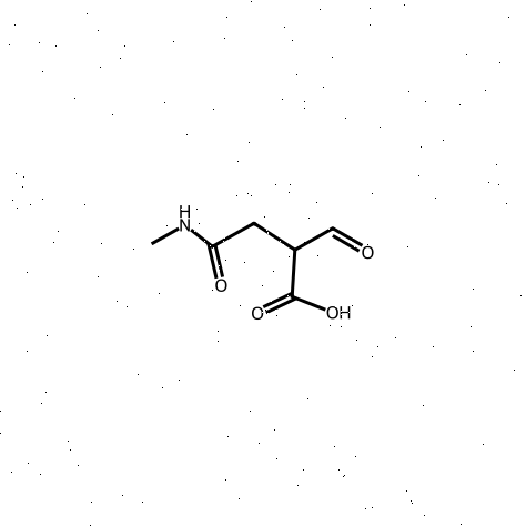 CNC(=O)CC(C=O)C(=O)O